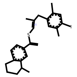 C=C(S/C=C(\C)Cc1cc(C)c(I)cc1C)c1ccc2c(c1)C(C)CCC2